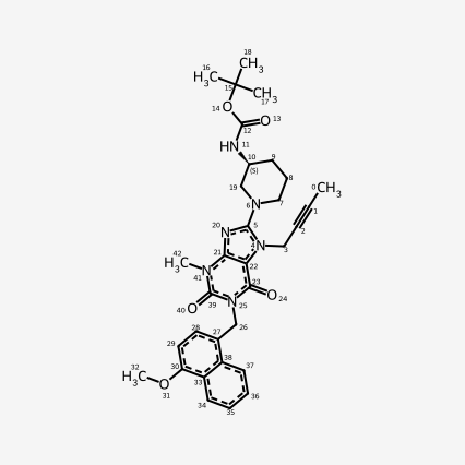 CC#CCn1c(N2CCC[C@H](NC(=O)OC(C)(C)C)C2)nc2c1c(=O)n(Cc1ccc(OC)c3ccccc13)c(=O)n2C